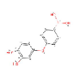 OB(O)c1ccc(Oc2ccc(O)c(O)c2)cc1